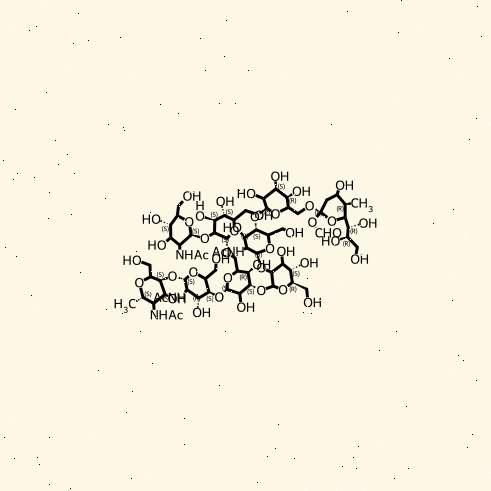 CC(=O)NC1C(O)[C@H](O)C(CO)O[C@H]1OC1[C@@H](OCC2O[C@@H](O[C@@H]3C(CO)O[C@@H](O[C@@H]4C(CO)O[C@@H](C)C(NC(C)=O)[C@H]4O)C(NC(C)=O)[C@H]3O)C(O)[C@@H](OC3O[C@H](CO)[C@@H](O)C(O)C3O[C@@H]3OC(CO)[C@@H](O[C@@H]4OC(CO[C@]5(OC=O)CC(O)[C@@H](C)C([C@H](O)[C@H](O)CO)O5)[C@H](O)[C@H](O)C4O)[C@H](O)C3NC(C)=O)[C@@H]2O)OC(CO)[C@@H](O)[C@@H]1O